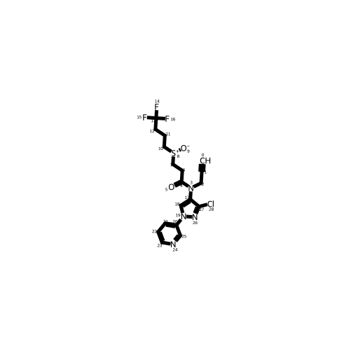 C#CCN(C(=O)CC[S+]([O-])CCCC(F)(F)F)c1cn(-c2cccnc2)nc1Cl